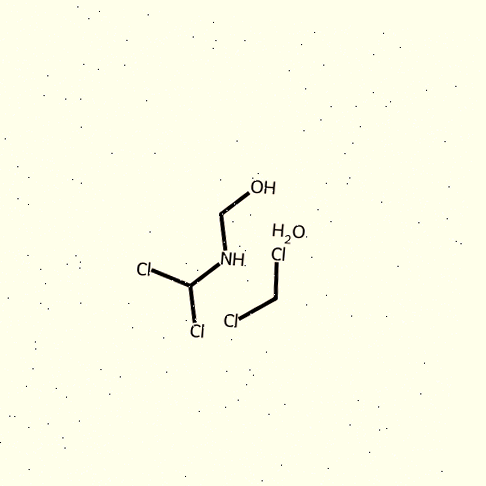 ClCCl.O.OCNC(Cl)Cl